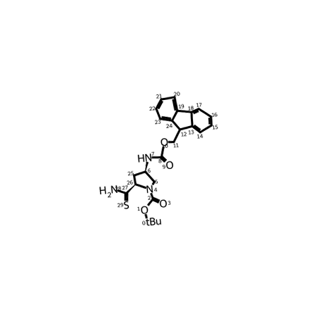 CC(C)(C)OC(=O)N1C[C@H](NC(=O)OCC2c3ccccc3-c3ccccc32)C[C@@H]1C(N)=S